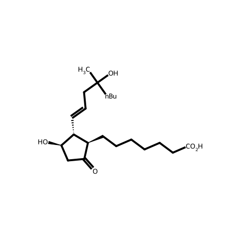 CCCCC(C)(O)C/C=C/[C@H]1[C@H](O)CC(=O)[C@@H]1CCCCCCC(=O)O